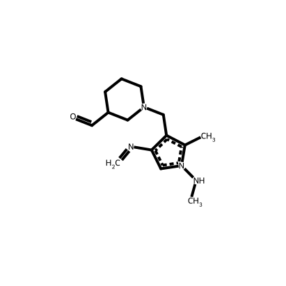 C=Nc1cn(NC)c(C)c1CN1CCCC(C=O)C1